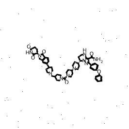 NC(=O)c1c(-c2ccc(Oc3ccccc3)cc2)nn2c1NCC[C@H]2C1CCN(C2CCN(C(=O)N3CCC(CN4CCC(c5ccc6c(c5)CN(C5CCC(=O)NC5=O)C6=O)CC4)CC3)CC2)CC1